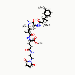 CN[C@H](C(=O)N[C@H](C(=O)N(C)[C@H](/C=C(\C)C(=O)N[C@H](CCC(=O)NCCN1C(=O)C=CC1=O)C(=O)OC(C)(C)C)C(C)C)C(C)(C)C)C(C)(C)c1cccc(OC)c1